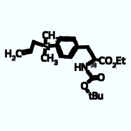 C=CC[Si](C)(C)c1ccc(C[C@H](NC(=O)OC(C)(C)C)C(=O)OCC)cc1